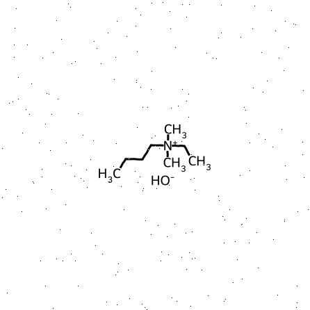 CCCC[N+](C)(C)CC.[OH-]